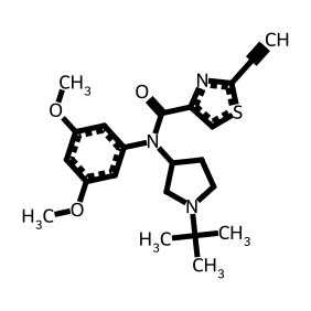 C#Cc1nc(C(=O)N(c2cc(OC)cc(OC)c2)C2CCN(C(C)(C)C)C2)cs1